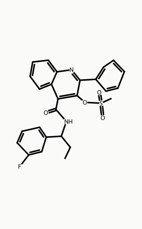 CCC(NC(=O)c1c(OS(C)(=O)=O)c(-c2ccccc2)nc2ccccc12)c1cccc(F)c1